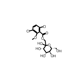 COc1c(Cl)ccc(Cl)c1C(=O)OCC1(O)O[C@H](CO)[C@@H](O)[C@H](O)[C@@H]1O